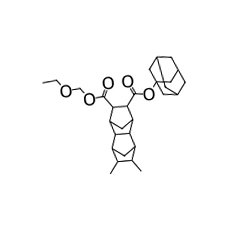 CCOCOC(=O)C1C2CC(C1C(=O)OC13CC4CC(CC(C4)C1)C3)C1C3CC(C(C)C3C)C21